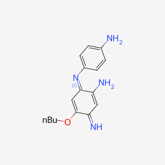 CCCCOC1=C/C(=N/c2ccc(N)cc2)C(N)=CC1=N